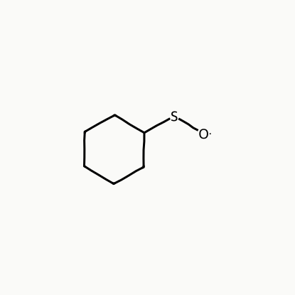 [O]SC1CCCCC1